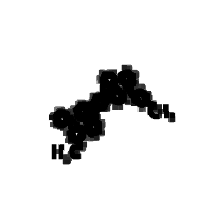 CCc1ccc(N(c2ccccc2)c2ccc3c4cc5c(cc4n4c6ccccc6c2c34)c2ccc(N(c3ccccc3)c3ccc(CC)cc3)c3c4ccccc4n5c23)cc1